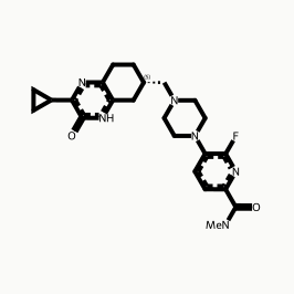 CNC(=O)c1ccc(N2CCN(C[C@H]3CCc4nc(C5CC5)c(=O)[nH]c4C3)CC2)c(F)n1